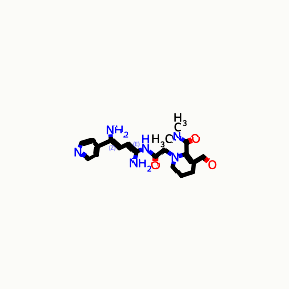 CN(C)C(=O)C1=C(C=O)CCCN1CC(=O)N/C(N)=C/C=C(\N)c1ccncc1